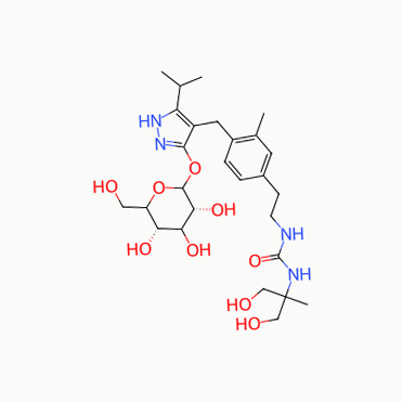 Cc1cc(CCNC(=O)NC(C)(CO)CO)ccc1Cc1c(OC2OC(CO)[C@@H](O)C(O)[C@H]2O)n[nH]c1C(C)C